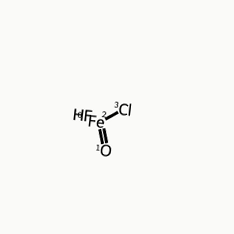 F.[O]=[Fe][Cl]